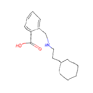 O=C(O)c1ccccc1CNCCC1CCCCC1